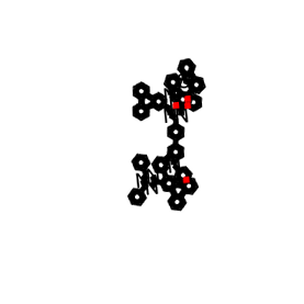 c1ccc(-c2nc(-c3ccccc3)nc(-c3cc4c5ccccc5c5ccccc5c4cc3-c3cccc4c5cc(-c6ccc(-c7nc(-c8ccccc8)nc(-c8cc9c%10ccccc%10c%10ccccc%10c9cc8-n8c9ccccc9c9c(-c%10cccc%11c%10oc%10ccccc%10%11)cccc98)n7)cc6)ccc5n(-c5ccccc5)c34)n2)cc1